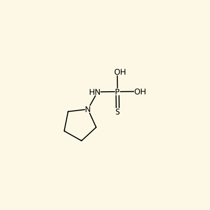 OP(O)(=S)NN1CCCC1